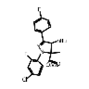 CCCCC1C(c2ccc(F)cc2)=NN(c2ccc(Cl)cc2F)C1(C)C(=O)OC